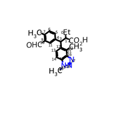 CCC(C(=O)O)C(c1ccc(C)c(C=O)c1)c1ccc2c(nnn2C)c1C